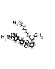 CCCCCCCCCCCC(CCC)c1ccccc1OC(=O)c1ccc(-c2ccc(C(C)OC)cc2)cc1